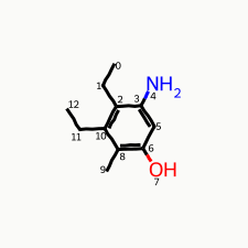 CCc1c(N)cc(O)c(C)c1CC